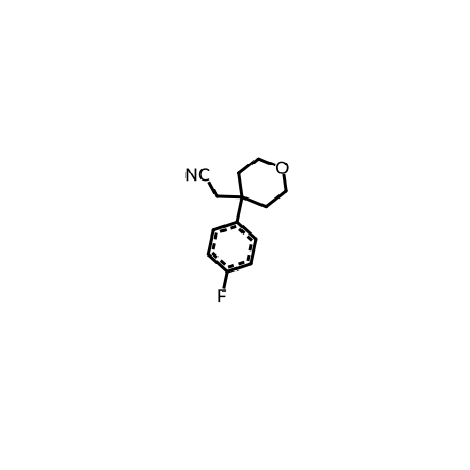 N#CCC1(c2ccc(F)cc2)CCOCC1